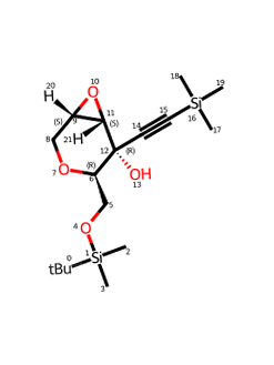 CC(C)(C)[Si](C)(C)OC[C@H]1OC[C@@H]2O[C@@H]2[C@@]1(O)C#C[Si](C)(C)C